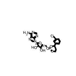 Nc1ncnc2c1ncn2[C@@H]1O[C@H](COP2OCCC(c3cccc(Cl)c3)O2)[C@@H](O)[C@H]1O